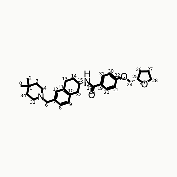 CC1(C)CCN(Cc2ccc3c(c2)CC[C@H](NC(=O)c2ccc(OC[C@@H]4CCCO4)cc2)C3)CC1